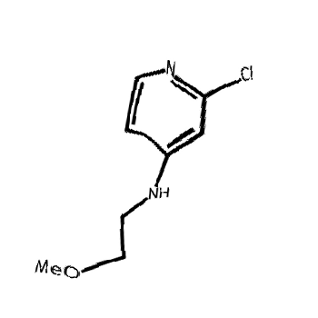 COCCNc1ccnc(Cl)c1